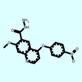 COc1cc2nccc(Oc3ccc([N+](=O)[O-])cc3)c2cc1C(=O)NN